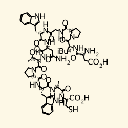 CC[C@H](C)[C@H](NC(=O)[C@@H](N)CC(=O)O)C(=O)N1CCC[C@H]1C(=O)NCC(=O)N[C@@H](Cc1c[nH]c2ccccc12)C(=O)N[C@@H](CC(N)=O)C(=O)N[C@H](C(=O)N1CCC[C@H]1C(=O)N[C@@H](Cc1c[nH]c2ccccc12)C(=O)N[C@@H](C)C(=O)N[C@@H](CS)C(=O)O)[C@@H](C)O